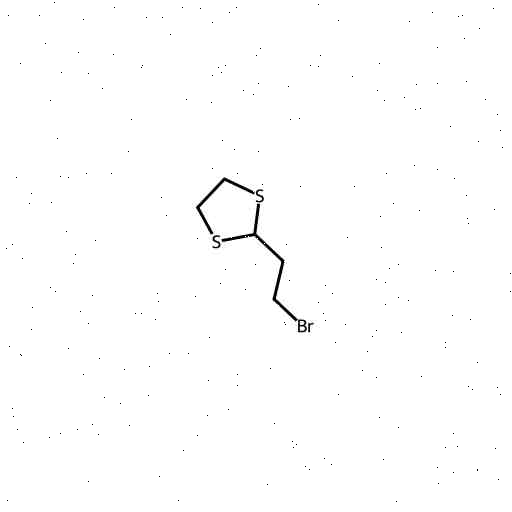 BrCCC1SCCS1